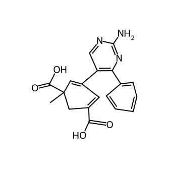 CC1(C(=O)O)C=C(c2cnc(N)nc2-c2ccccc2)C=C(C(=O)O)C1